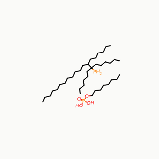 CCCCCCCCCCCCC(CCCCCC)C(P)(CCCCCC)CCCCCC.CCCCCCCCOP(=O)(O)O